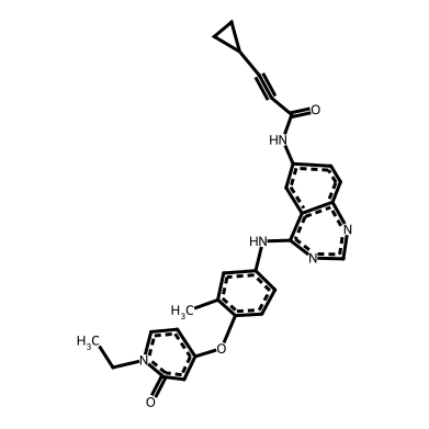 CCn1ccc(Oc2ccc(Nc3ncnc4ccc(NC(=O)C#CC5CC5)cc34)cc2C)cc1=O